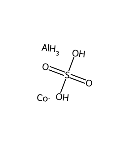 O=S(=O)(O)O.[AlH3].[Co]